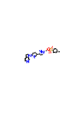 Cc1ccc(S(=O)(=O)OCCn2ccc(-c3ccc(-n4ccc5ccncc54)nc3)n2)cc1